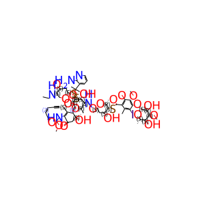 C#C/C=C\C#C[C@H](O[C@@H]1O[C@H](C)[C@@H](NO[C@H]2C[C@H](O)[C@H](SC(=O)c3c(C)c(I)c(O[C@@H]4O[C@@H](C)[C@H](O)[C@@H](OC)[C@H]4O)c(OC)c3OC)[C@@H](C)O2)[C@H](O)[C@H]1O[C@H]1C[C@H](OC)[C@@H](NCC)CO1)C1=C(NC(=O)OC)C(=O)C[C@](C)(O)/C1=C/CSSC(C)(C)c1cccnc1N